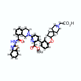 Cc1c(OC2CCC3(CCN(CC(=O)O)CC3)C2)cccc1-c1ccc(N2CCc3cccc(C(=O)Nc4nc5ccccc5s4)c3C2)nc1C(=O)OC(C)(C)C